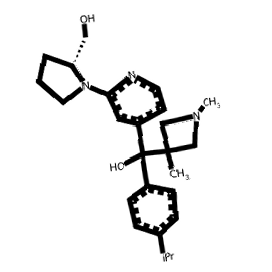 CC(C)c1ccc(C(O)(c2ccnc(N3CCC[C@@H]3CO)c2)C2(C)CN(C)C2)cc1